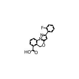 O=C(O)c1cccc2c1COc1cc(-c3ccccc3F)nn1-2